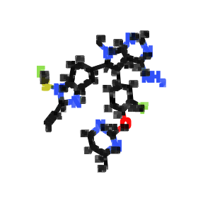 C#Cc1nc2cc(-c3c(-c4ccc(Oc5nccc(C)n5)c(F)c4)c4c(N)ncnc4n3C)ccc2n1SF